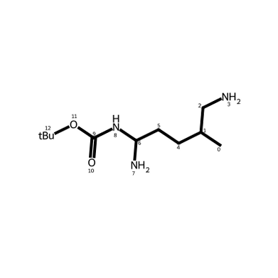 CC(CN)CCC(N)NC(=O)OC(C)(C)C